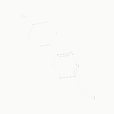 C#Cc1ccc(C2CCC(CCC)CC2)nn1